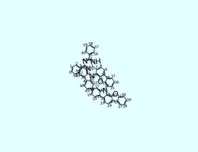 c1ccc(C2=NC(c3ccc4c(oc5c(-n6c7ccccc7c7ccc8c9ccccc9oc8c76)cccc54)c3-n3c4ccccc4c4ccccc43)NC(c3ccccc3)=N2)cc1